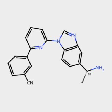 C[C@@H](N)c1ccc2c(c1)ncn2-c1cccc(-c2cccc(C#N)c2)n1